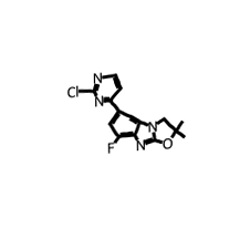 CC1(C)Cn2c(nc3c(F)cc(-c4ccnc(Cl)n4)cc32)O1